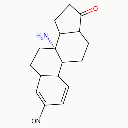 N[C@@]12CCC3C=C(N=O)C=CC3C1CCC1C(=O)CCC12